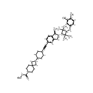 CC(C)(C)OC(=O)N1CCC2(CC1)CN(C1CCC(C#Cc3ccc4c(n3)CN([C@H]3C(C)(C)[C@H](Oc5ccc(C#N)c(Cl)c5)C3(C)C)C4=O)CC1)C2